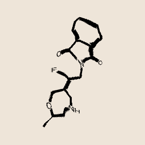 C[C@@H]1CNCC(=C(F)CN2C(=O)c3ccccc3C2=O)CO1